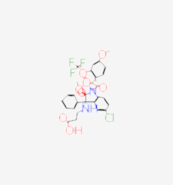 COc1ccc(S(=O)(=O)N2C(=O)C(NCCC(=O)O)(c3ccccc3OC)c3cc(Cl)ccc32)c(OC(F)(F)F)c1